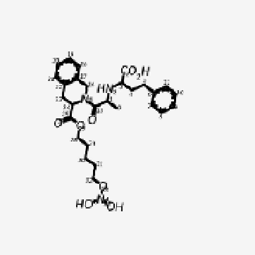 CC(NC(CCc1ccccc1)C(=O)O)C(=O)N1Cc2ccccc2CC1C(=O)OCCCCCON(O)O